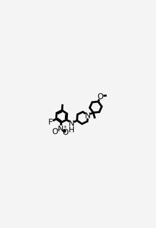 COC1CCC(C)(N2CCC(Nc3cc(C)cc(F)c3[N+](=O)[O-])CC2)CC1